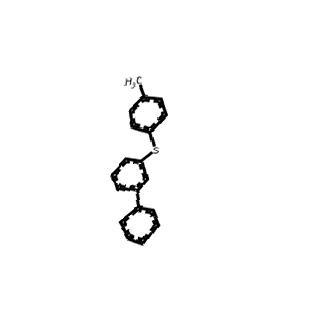 Cc1ccc(Sc2cccc(-c3ccccc3)c2)cc1